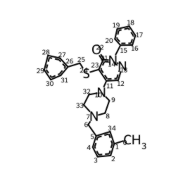 Cc1cccc(CN2CCN(c3cnn(-c4ccccc4)c(=O)c3SCc3ccccc3)CC2)c1